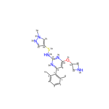 Cc1cccc(C)c1-c1cc(OC2CNC2)nc(NSc2cnn(C)c2)n1